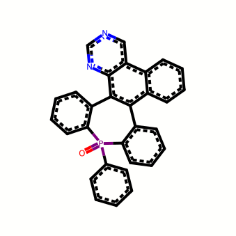 O=P1(c2ccccc2)c2ccccc2-c2c(c3ncncc3c3ccccc23)-c2ccccc21